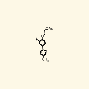 CC(=O)OCCOc1ccc(-c2ccc(C)cc2)cc1I